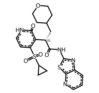 O=C(Nc1nc2cccnc2s1)[C@@H](CC1CCOCC1)c1c(S(=O)(=O)C2CC2)cc[nH]c1=O